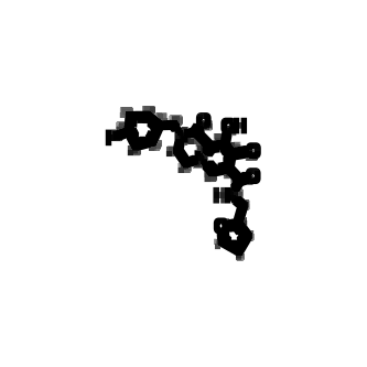 O=C(NCc1ccco1)c1cn2c(c(O)c1=O)C(=O)N(Cc1ccc(F)cc1)CC2